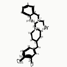 CC(C)CN(Cc1ccccc1N)CN1CCC(Cc2ccc(Cl)c(Cl)c2)CC1